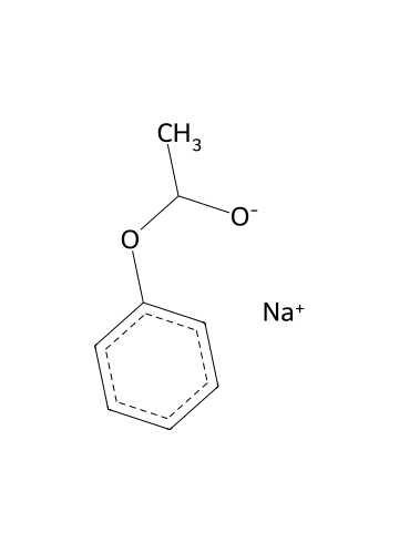 CC([O-])Oc1ccccc1.[Na+]